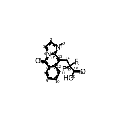 Cn1ccn2c(=O)c3ccccc3c(CC(F)(F)C(=O)O)c12